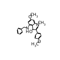 COc1ccc(-c2cn(C)c3cc(OC)cc(NCc4ccccc4)c3c2=O)cc1